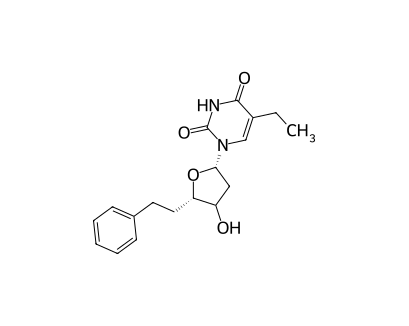 CCc1cn([C@@H]2CC(O)[C@H](CCc3ccccc3)O2)c(=O)[nH]c1=O